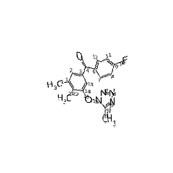 Cc1cc(C(=O)c2ccc(F)cc2)cc(On2nnnc2C)c1C